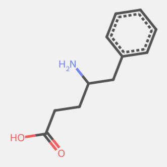 NC(CCC(=O)O)Cc1ccccc1